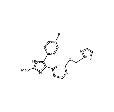 CSc1nc(-c2ccnc(OCc3nccs3)c2)c(-c2ccc(F)cc2)[nH]1